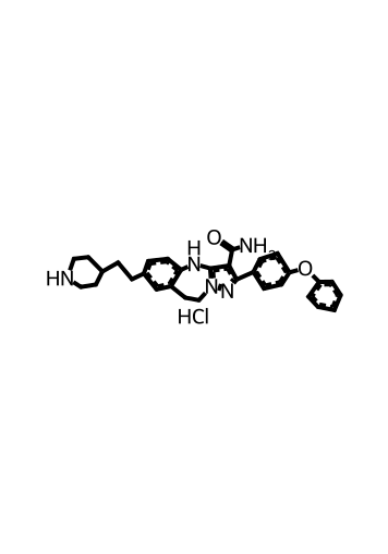 Cl.NC(=O)c1c(-c2ccc(Oc3ccccc3)cc2)nn2c1Nc1ccc(CCC3CCNCC3)cc1CC2